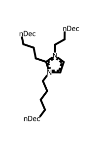 CCCCCCCCCCCCCC[n+]1ccn(CCCCCCCCCCCC)c1CCCCCCCCCCCCC